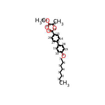 CCCCCCCCOc1ccc(-c2ccc(C(=O)OC(C)C(=O)OC)cc2)cc1